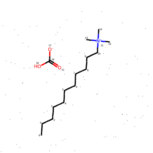 CCCCCCCCCCC[N+](C)(C)C.O=C([O-])O